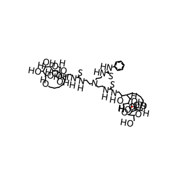 OCC1O[C@@H]2OCCCCC3C(CNC(=S)NCCN(CCNC(=S)NCC4O[C@@H]5OC6C(CO)O[C@H](OCCCCC4[C@@H](O)C5O)C(O)[C@@H]6O)CCNC(=S)Nc4ccccc4)O[C@H](OC1[C@@H](O)C2O)C(O)[C@@H]3O